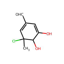 CC1(Cl)C=C(C=O)C=C(O)C1O